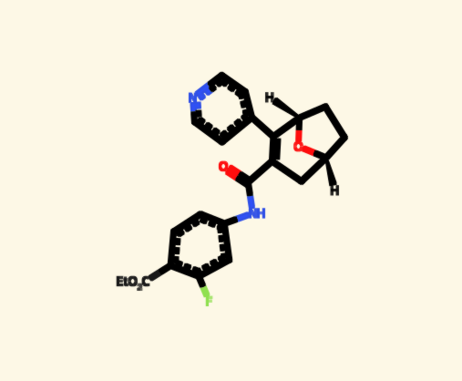 CCOC(=O)c1ccc(NC(=O)C2=C(c3ccncc3)[C@@H]3CC[C@H](C2)O3)cc1F